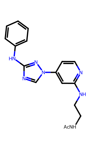 CC(=O)NCCNc1cc(-n2cnc(Nc3ccccc3)n2)ccn1